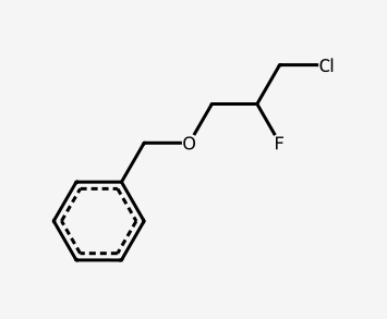 FC(CCl)COCc1ccccc1